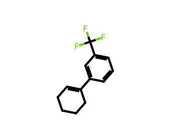 FC(F)(F)c1cccc(C2=CCCCC2)c1